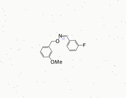 COc1cccc(CO/N=[C]\c2cccc(F)c2)c1